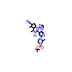 Cc1c(C#N)cccc1C(C)Nc1nc2nccn2c2cnc(N3CCN(C(=O)OC(C)(C)C)CC3C)cc12